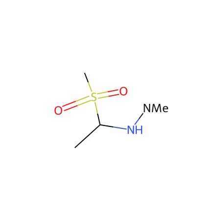 CNNC(C)S(C)(=O)=O